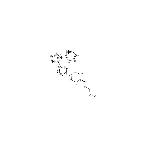 CCCCC[C@H]1CC[C@H](c2noc(-c3ncnn3-c3ccccn3)n2)CC1